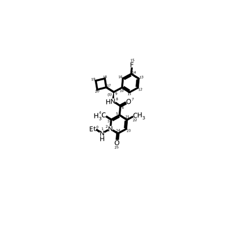 CCNn1c(C)c(C(=O)N[C@H](c2cccc(F)c2)C2CCC2)c(C)cc1=O